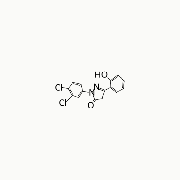 O=C1CC(c2ccccc2O)=NN1c1ccc(Cl)c(Cl)c1